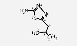 CC(O)Sc1nnc(N)s1